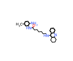 Cc1ccc(N)c(NC(=O)CCCCCCNc2c3c(nc4ccccc24)CCCC3)c1